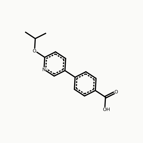 CC(C)Oc1ccc(-c2ccc(C(=O)O)cc2)cn1